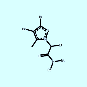 CCC(C(=O)N(CC)CC)n1nc(Br)c(Br)c1C